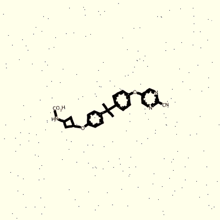 CC(C)(c1ccc(Oc2cnc(C#N)nc2)cc1)c1ccc(OC2CC(NC(=O)O)C2)cc1